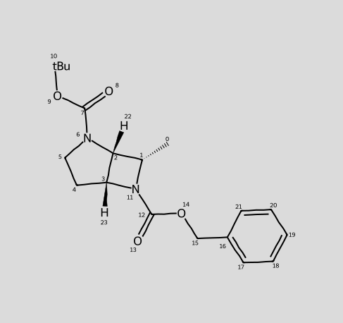 C[C@H]1[C@@H]2[C@@H](CCN2C(=O)OC(C)(C)C)N1C(=O)OCc1ccccc1